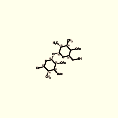 CC[C@H]1O[C@H](O[C@H]2O[C@H](CS)C(OC(C)=O)[C@H](C)[C@H]2C)[C@H](OC(C)=O)[C@@H](OC(C)=O)[C@@H]1C